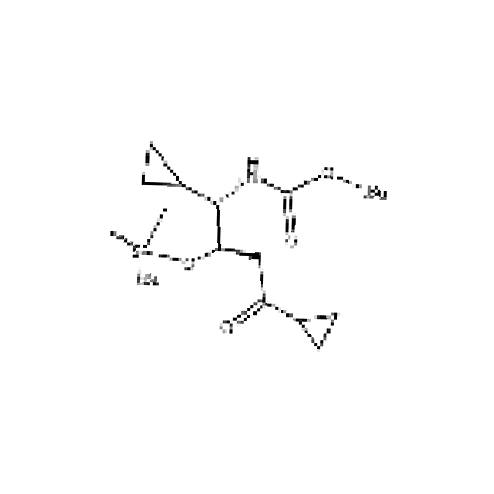 CC(C)(C)OC(=O)N[C@@H](C1CC1)[C@@H](CC(=O)C1CC1)O[Si](C)(C)C(C)(C)C